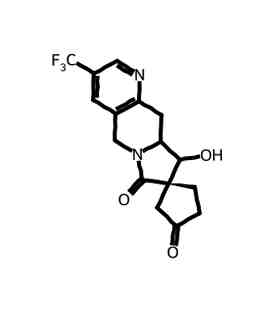 O=C1CC[C@@]2(C1)C(=O)N1Cc3cc(C(F)(F)F)cnc3CC1C2O